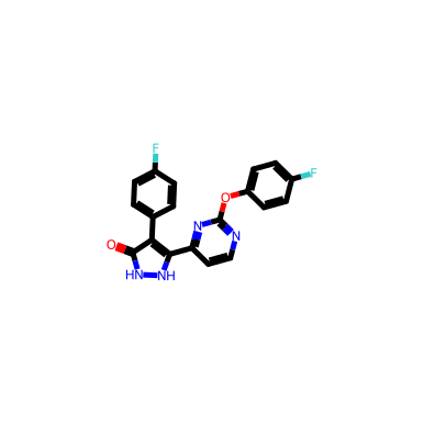 O=c1[nH][nH]c(-c2ccnc(Oc3ccc(F)cc3)n2)c1-c1ccc(F)cc1